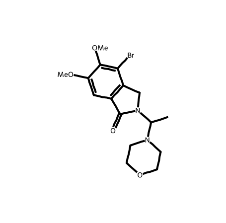 COc1cc2c(c(Br)c1OC)CN(C(C)N1CCOCC1)C2=O